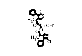 CC(C(=O)[O][Al+][O]C(=O)C(C)c1csc(Cl)c1-c1ccccc1)c1csc(Cl)c1-c1ccccc1.[OH-]